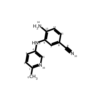 Cc1ccc(Nc2cc(C#N)ccc2N)cn1